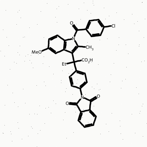 CCC(C(=O)O)(c1ccc(N2C(=O)c3ccccc3C2=O)cc1)c1c(C)n(C(=O)c2ccc(Cl)cc2)c2ccc(OC)cc12